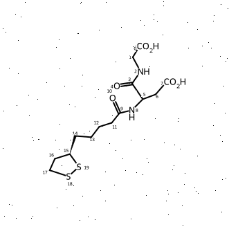 O=C(O)CNC(=O)C(CC(=O)O)NC(=O)CCCC[C@@H]1CCSS1